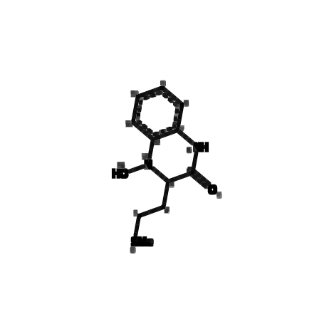 CSCCC1C(=O)Nc2ccccc2N1O